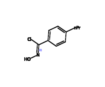 CCCc1ccc(/C(Cl)=N/O)cc1